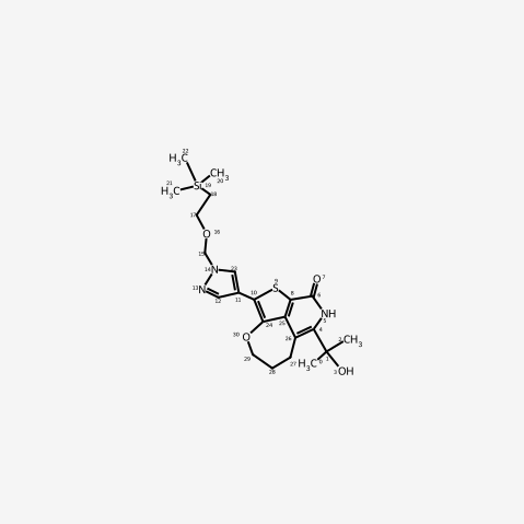 CC(C)(O)c1[nH]c(=O)c2sc(-c3cnn(COCC[Si](C)(C)C)c3)c3c2c1CCCO3